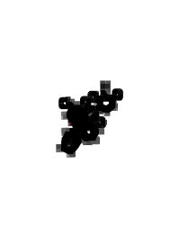 O=C1CCC(N2C(=O)c3ccc(N4CC5CCC(C4)N5Cc4ccccc4-c4ccc(Cl)cc4)cc3C2=O)C(=O)N1